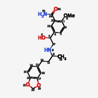 COc1ccc(C(O)CNC(C)CCc2ccc3c(c2)OCO3)cc1C(N)=O